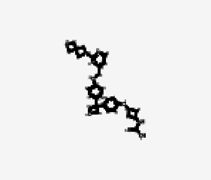 O=C(O)NC1CC(Oc2ccc(C3(c4ccc(OCc5ccnc(N6CC7(COC7)C6)n5)cc4)COC3)cc2)C1